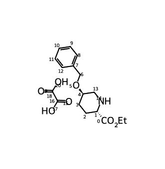 CCOC(=O)[C@@H]1CC[C@@H](OCc2ccccc2)CN1.O=C(O)C(=O)O